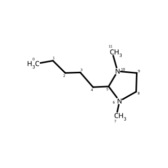 CCCCCC1N(C)CCN1C